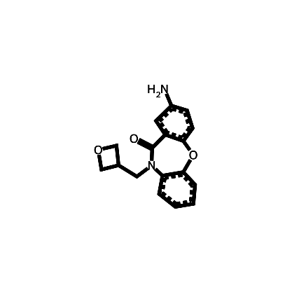 Nc1ccc2c(c1)C(=O)N(CC1COC1)c1ccccc1O2